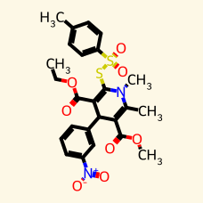 CCOC(=O)C1=C(SS(=O)(=O)c2ccc(C)cc2)N(C)C(C)=C(C(=O)OC)C1c1cccc([N+](=O)[O-])c1